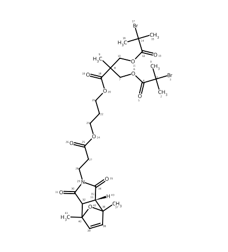 CC(C)(Br)C(=O)OCC(C)(COC(=O)C(C)(C)Br)C(=O)OCCCOC(=O)CCN1C(=O)C2[C@H](C1=O)C1(C)C=CC2(C)O1